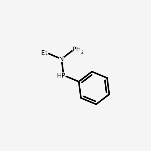 CCN(P)Pc1ccccc1